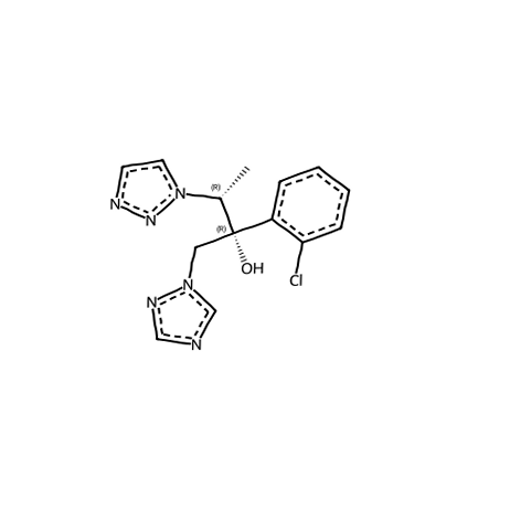 C[C@@H](n1ccnn1)[C@](O)(Cn1cncn1)c1ccccc1Cl